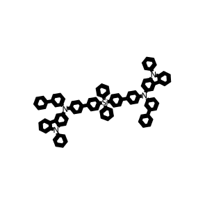 c1ccc(-c2cccc(N(c3ccc(-c4ccc([Si](c5ccccc5)(c5ccccc5)c5ccc(-c6ccc(N(c7cccc(-c8ccccc8)c7)c7ccc8c(c7)c7ccccc7n8-c7ccccc7)cc6)cc5)cc4)cc3)c3ccc4c(c3)c3ccccc3n4-c3ccccc3)c2)cc1